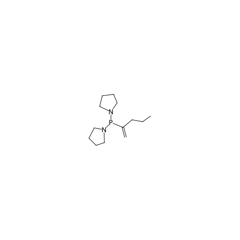 C=C(CCC)P(N1CCCC1)N1CCCC1